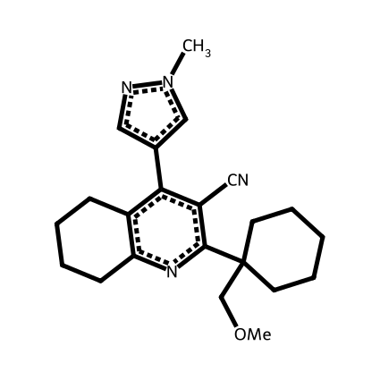 COCC1(c2nc3c(c(-c4cnn(C)c4)c2C#N)CCCC3)CCCCC1